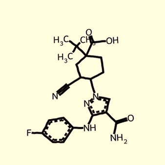 CC(C)(C)C1(C(=O)O)CCC(n2cc(C(N)=O)c(Nc3ccc(F)cc3)n2)C(C#N)C1